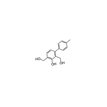 Cc1ccc(-c2ccc(CO)c(O)c2CO)cc1